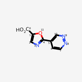 O=C(O)c1cnc(-c2ccnnc2)o1